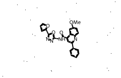 COc1ccc2nc(-c3ccccc3)cc(C(=O)Nc3nnc(-c4ccco4)o3)c2c1